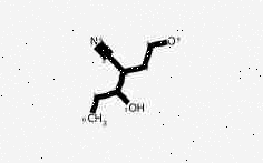 CCC(O)C(C#N)CC[O]